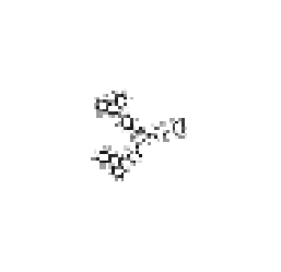 c1ccc2c(c#1)c(-c1cccc(-c3cc(C4=CCC(c5cccnc5)C=C4)nc(-c4ccc(-c5cc6ccccc6c6ccccc56)cc4)n3)c1)cc1ccccc12